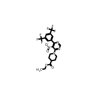 CCOC(=O)C1CCN(c2ncnc(-c3cc(C(F)(F)F)cc(C(F)(F)F)c3)c2[N+](=O)[O-])CC1